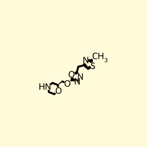 Cc1nc(Cc2nnc(OC[C@@H]3CNCCO3)o2)cs1